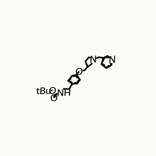 CC(C)(C)OC(=O)NCCc1ccc(OCC2CCN(Cc3cccnc3)C2)cc1